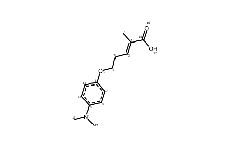 C/C(=C\CCOc1ccc(N(C)C)cc1)C(=O)O